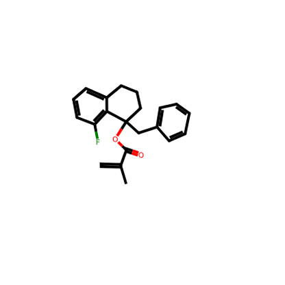 C=C(C)C(=O)OC1(Cc2ccccc2)CCCc2cccc(F)c21